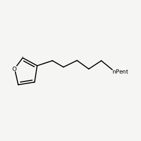 CCCCCCCCCCc1[c]occ1